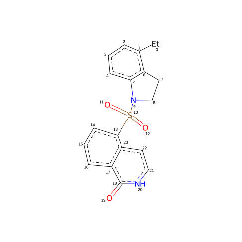 CCc1cccc2c1CCN2S(=O)(=O)c1cccc2c(=O)[nH]ccc12